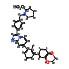 Cc1c(-c2ccc3c(c2)OCCO3)cccc1-c1ccn2c(-c3ccc(CN4CCCCC4C(=O)O)cc3)cnc2c1